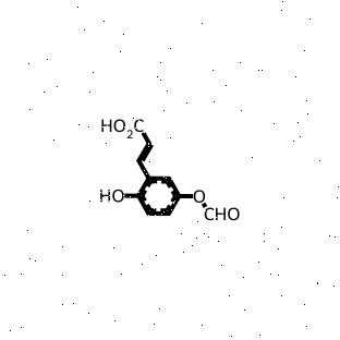 O=COc1ccc(O)c(/C=C/C(=O)O)c1